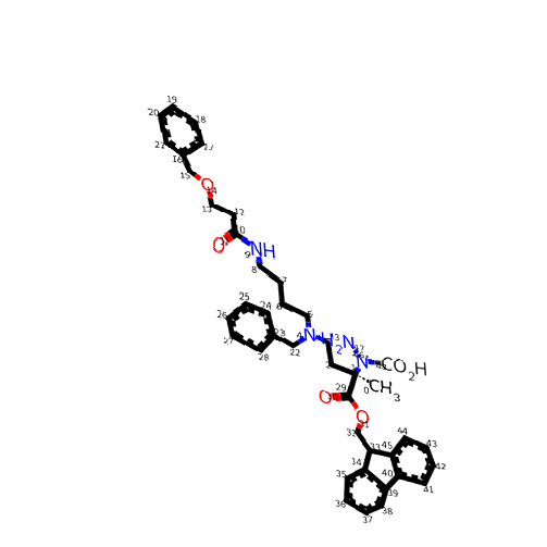 C[C@@](CCN(CCCCNC(=O)CCOCc1ccccc1)Cc1ccccc1)(C(=O)OCC1c2ccccc2-c2ccccc21)N(N)C(=O)O